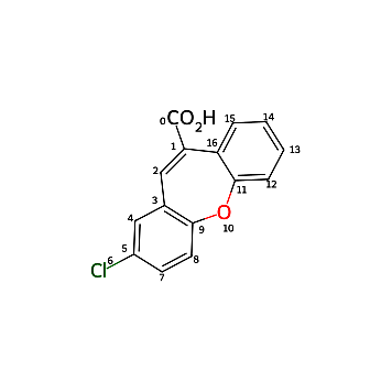 O=C(O)C1=Cc2cc(Cl)ccc2Oc2ccccc21